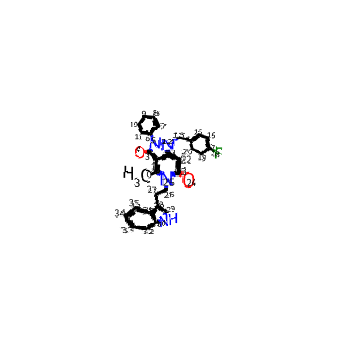 Cc1c2c(=O)n(-c3ccccc3)n(CC3=CC=C(F)CC3)c2cc(=O)n1CCc1c[nH]c2ccccc12